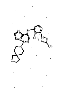 Cc1c(Sc2cnc(N3CCC4(CCOC4)CC3)n3ccnc23)ccnc1N1CC(O)C1